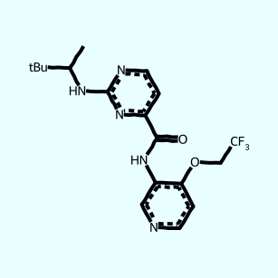 CC(Nc1nccc(C(=O)Nc2cnccc2OCC(F)(F)F)n1)C(C)(C)C